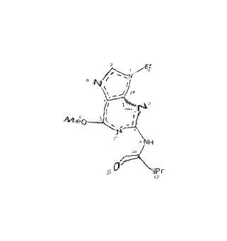 CCn1cnc2c(OC)nc(NC(=O)C(C)C)nc21